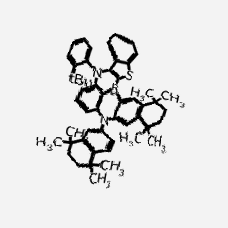 CC(C)(C)c1ccccc1N1c2cccc3c2B(c2cc4c(cc2N3c2ccc3c(c2)C(C)(C)CCC3(C)C)C(C)(C)CCC4(C)C)c2sc3ccccc3c21